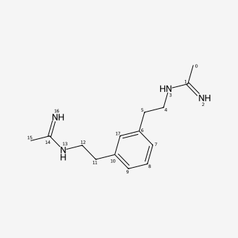 CC(=N)NCCc1cccc(CCNC(C)=N)c1